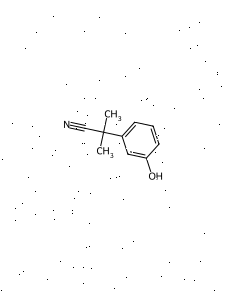 CC(C)(C#N)c1cccc(O)c1